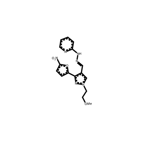 COCCn1cc(C=NNc2ccccn2)c(-c2ccc([N+](=O)[O-])o2)n1